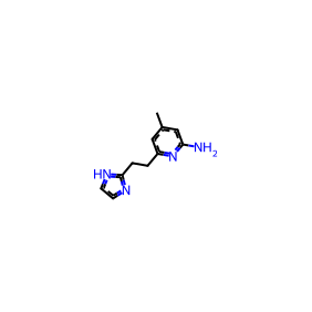 Cc1cc(N)nc(CCc2ncc[nH]2)c1